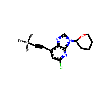 CC(C)[Si](C#Cc1cc(Cl)nc2c1ncn2C1CCCCO1)(C(C)C)C(C)C